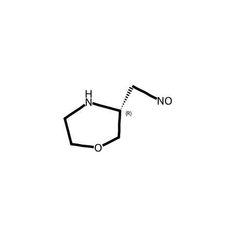 O=NC[C@@H]1COCCN1